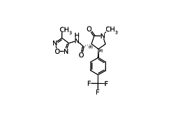 Cc1nonc1NC(=O)[C@@H]1C(=O)N(C)C[C@H]1c1ccc(C(F)(F)F)cc1